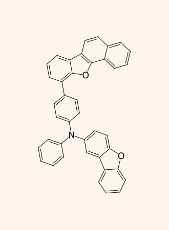 c1ccc(N(c2ccc(-c3cccc4c3oc3c5ccccc5ccc43)cc2)c2ccc3oc4ccccc4c3c2)cc1